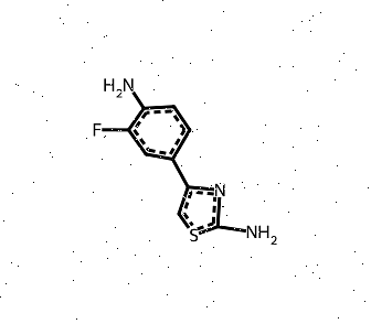 Nc1nc(-c2ccc(N)c(F)c2)cs1